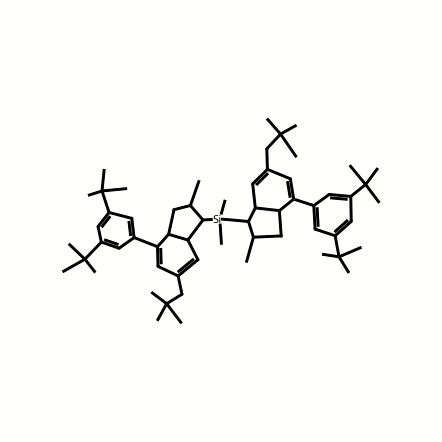 CC1CC2C(c3cc(C(C)(C)C)cc(C(C)(C)C)c3)=CC(CC(C)(C)C)=CC2C1[Si](C)(C)C1C(C)CC2C(c3cc(C(C)(C)C)cc(C(C)(C)C)c3)=CC(CC(C)(C)C)=CC21